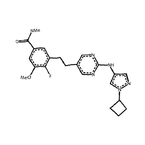 CNC(=O)c1cc(CCc2cnc(Nc3cnn(C4CCC4)c3)nc2)c(F)c(OC)c1